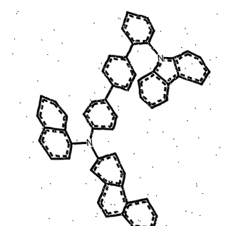 c1ccc(-n2c3ccccc3c3ccccc32)c(-c2ccc(-c3ccc(N(c4ccc5c(ccc6ccccc65)c4)c4cccc5ccccc45)cc3)cc2)c1